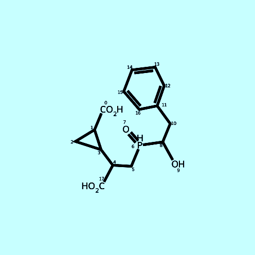 O=C(O)C1CC1C(C[PH](=O)C(O)Cc1ccccc1)C(=O)O